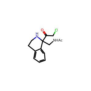 CC(=O)NCC1(C(=O)CCl)NCCc2ccccc21